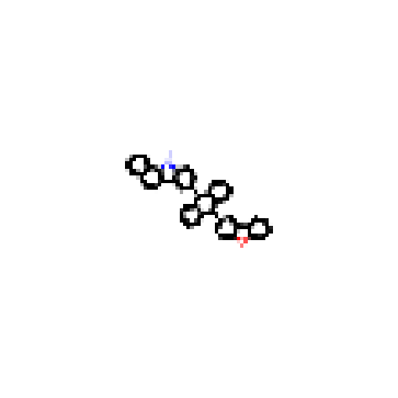 c1ccc2c(c1)ccc1c3cc(-c4c5ccccc5c(-c5ccc6oc7ccccc7c6c5)c5ccccc45)ccc3[nH]c21